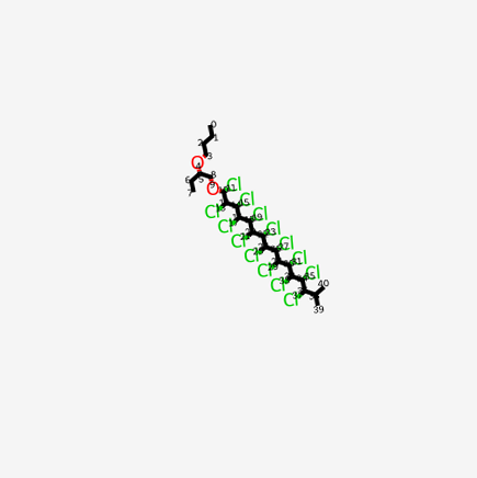 CCCCOC(CC)COC(Cl)C(Cl)C(Cl)C(Cl)C(Cl)C(Cl)C(Cl)C(Cl)C(Cl)C(Cl)C(Cl)C(Cl)C(Cl)C(Cl)C(C)C